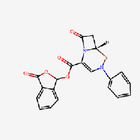 O=C(OC1OC(=O)c2ccccc21)C1=CN(c2ccccc2)S[C@H]2CC(=O)N12